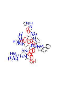 C[C@@H](NC(=O)[C@H](CCCNC(=N)N)NC(=O)[C@H](CCCNC(=N)N)NC(=O)[C@H](Cc1ccc2ccccc2c1)NC(=O)[C@@H]1CCCCN1C(=O)[C@@H](CC(=O)O)NC(=O)CN(C)C(=O)[C@@H]1CCCN1)C(=O)O